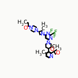 C=CC(=O)N1CCN([C@@H]2CN(c3cc(N4CCC(c5c(C)ccnc5C5(OC)COC5)CC4)nc(C(F)(F)F)n3)[C@@H]2C)CC1